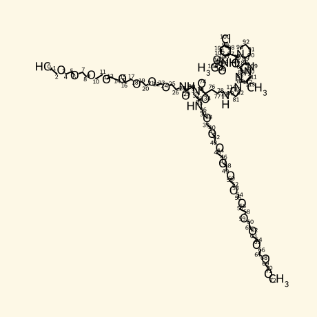 C#CCOCCOCCOCCOCCOCCOCCOCCOCCNC(=O)CN(CC(=O)NCCOCCOCCOCCOCCOCCOCCOCCOCCOCCOCCOCCOC)C(=O)CCCCN[C@H]1CCN(c2nc3cc(C4CCCCN4C(=O)c4cc(Cl)ccc4NS(C)(=O)=O)nn3cc2C)C1